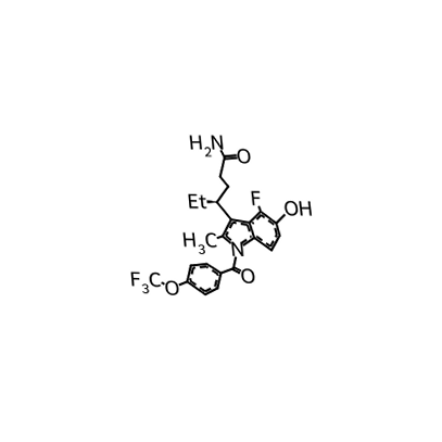 CC[C@@H](CCC(N)=O)c1c(C)n(C(=O)c2ccc(OC(F)(F)F)cc2)c2ccc(O)c(F)c12